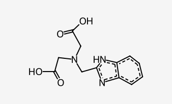 O=C(O)CN(CC(=O)O)Cc1nc2ccccc2[nH]1